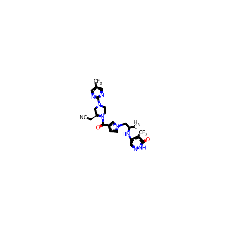 CC(Cn1ccc(C(=O)N2CCN(c3ncc(C(F)(F)F)cn3)C[C@@H]2CC#N)c1)Nc1cn[nH]c(=O)c1C(F)(F)F